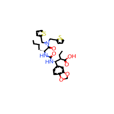 CCCC[C@@H](NC(=O)N[C@@H](c1ccc2c(c1)OCO2)C(CC)C(=O)O)C(=O)N(Cc1cccs1)Cc1cccs1